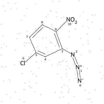 [N-]=[N+]=Nc1cc(Cl)ccc1[N+](=O)[O-]